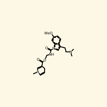 COc1ccc2c(CCN(C)C)cn(C(=O)NCOC(=O)C3=CN(C)C=CC3)c2c1